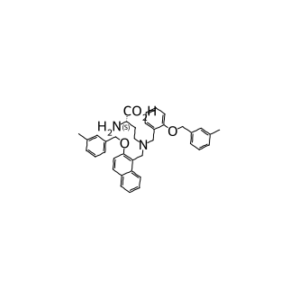 Cc1cccc(COc2ccccc2CN(CC[C@H](N)C(=O)O)Cc2c(OCc3cccc(C)c3)ccc3ccccc23)c1